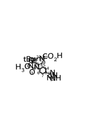 CN1C(=O)N(c2ccc(-c3nn[nH]n3)cc2)C2(CCN(C(=O)O)CC2C(C)(C)C)C1=O